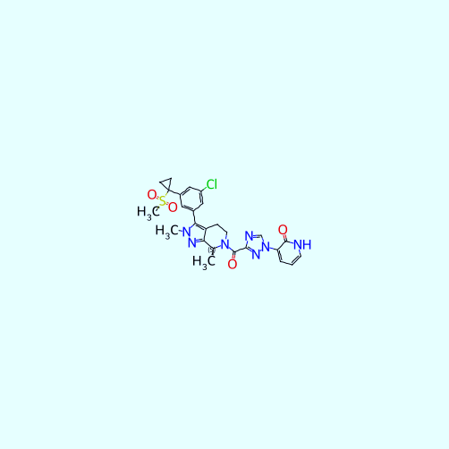 C[C@H]1c2nn(C)c(-c3cc(Cl)cc(C4(S(C)(=O)=O)CC4)c3)c2CCN1C(=O)c1ncn(-c2ccc[nH]c2=O)n1